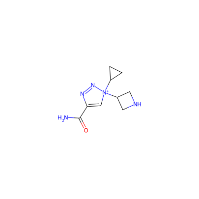 NC(=O)C1=C[N+](C2CC2)(C2CNC2)N=N1